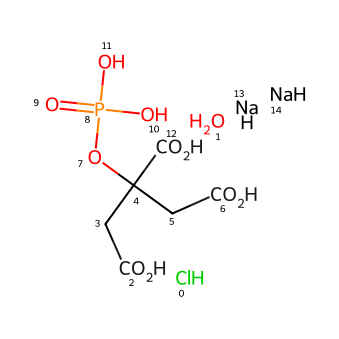 Cl.O.O=C(O)CC(CC(=O)O)(OP(=O)(O)O)C(=O)O.[NaH].[NaH]